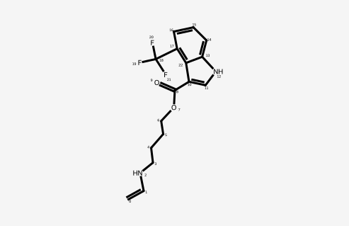 C=CNCCCCOC(=O)c1c[nH]c2cccc(C(F)(F)F)c12